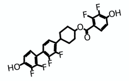 O=C(OC1CCC(c2ccc(-c3ccc(O)c(F)c3F)c(F)c2F)CC1)c1ccc(O)c(F)c1F